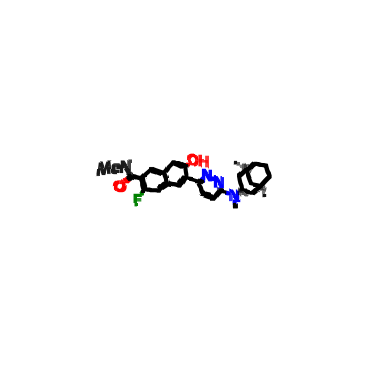 CNC(=O)c1cc2cc(O)c(-c3ccc(N(C)[C@H]4C[C@]5(C)CCC[C@](C)(C4)C5)nn3)cc2cc1F